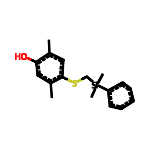 Cc1cc(SC[Si](C)(C)c2ccccc2)c(C)cc1O